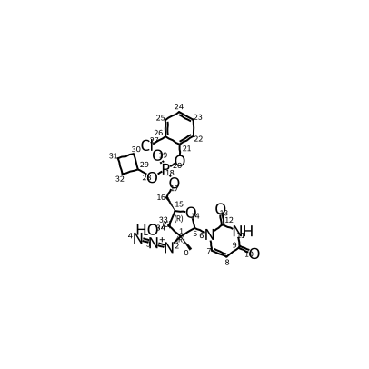 C[C@]1(N=[N+]=[N-])C(n2ccc(=O)[nH]c2=O)O[C@H](COP(=O)(Oc2ccccc2Cl)OC2CCC2)[C@H]1O